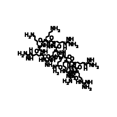 N=C(N)NCCC[C@H](NC(=O)[C@H](CCCCN)NC(=O)[C@H](CCCCN)NC(=O)[C@H](CCCNC(=N)N)NC(=O)[C@H](CCCNC(=N)N)NC(=O)[C@H](CCC(N)=O)NC(=O)[C@H](CCCNC(=N)N)NC(=O)[C@H](CCCNC(=N)N)NC(=O)[C@H](CCCNC(=N)N)NC(=O)CN)C(=O)O